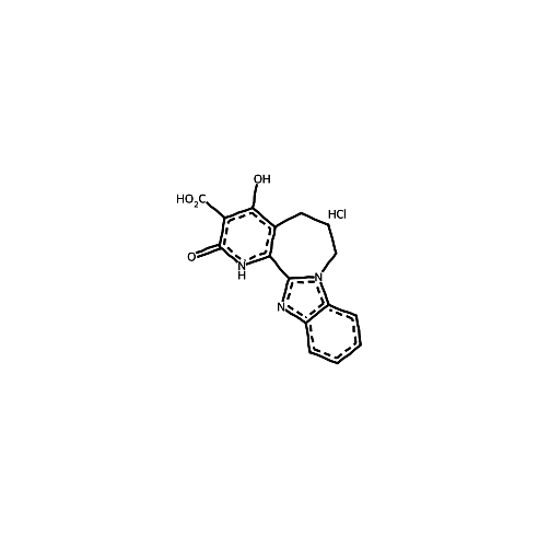 Cl.O=C(O)c1c(O)c2c([nH]c1=O)-c1nc3ccccc3n1CCC2